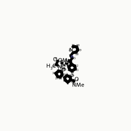 CNC(=O)c1ccccc1Sc1ccc2c(/C=C/c3ccccn3)nn(P(=S)(N[C@@H](C)C(=O)OC)Oc3ccccc3)c2c1